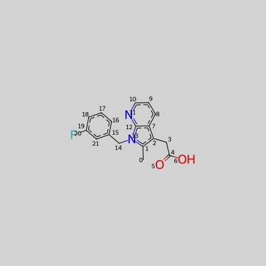 Cc1c(CC(=O)O)c2cccnc2n1Cc1cccc(F)c1